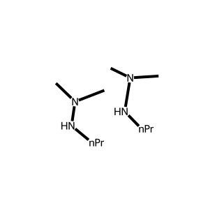 CCCNN(C)C.CCCNN(C)C